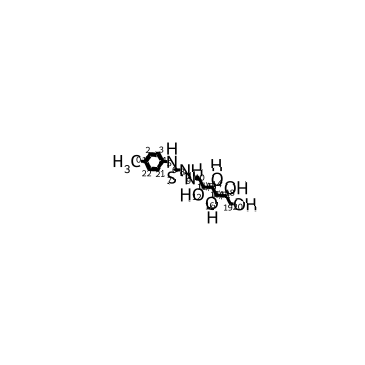 Cc1ccc(NC(=S)NN=C[C@H](O)[C@@H](O)[C@H](O)[C@H](O)CO)cc1